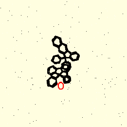 c1ccc(C2(c3ccc(-c4cccc5c4C4(c6ccccc6O5)c5ccccc5-c5ccccc54)cc3)c3ccccc3-c3cc4ccccc4cc32)cc1